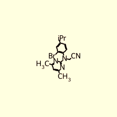 Cc1cc(C)nc(N(CC#N)c2ccc(C(C)C)cc2Br)n1